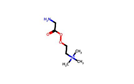 C[N+](C)(C)CCOOC(=O)CN